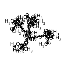 CCCOP(OC1CCC(C(=O)NC(CCC(=O)NCCOCCOC2OC(CCC(C)=O)C(OC(C)=O)C(OC(C)=O)C2NC(C)=O)(CCC(=O)NCCOCCOC2OC(COC(C)=O)C(OC(C)=O)C(OC(C)=O)C2NC(C)=O)CCC(=O)NCCOCCOC2OC(COC(C)=O)C(OC(C)=O)C(OC(C)=O)C2NC(C)=O)CC1)N(C(C)C)C(C)C